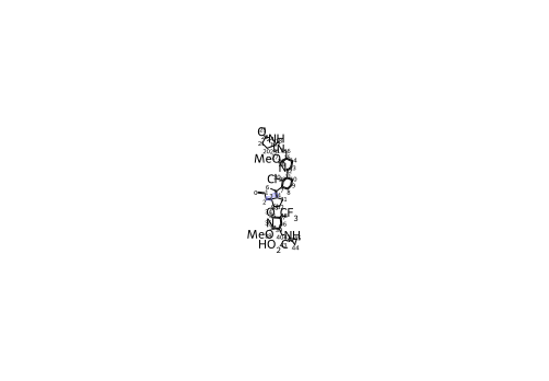 C=C/C=C1\C(=C(/C)c2cccc(-c3ccc(CN4CC5(CCC(=O)N5)C4)c(OC)n3)c2Cl)CC[C@@H]1Oc1nc(OC)c(CNC2(C(=O)O)CC2)cc1C(F)(F)F